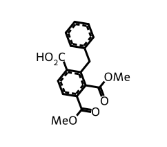 COC(=O)c1ccc(C(=O)O)c(Cc2ccccc2)c1C(=O)OC